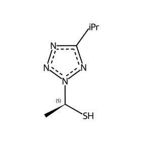 CC(C)c1nnn([C@H](C)S)n1